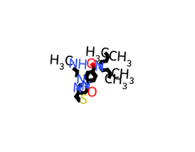 CNCCCn1c2cc(C(=O)N(CCC(C)C)CCC(C)C)ccc2n2c(=O)c3sccc3nc12